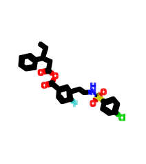 CCC(CC(=O)OC(=O)c1ccc(F)c(CCNS(=O)(=O)c2ccc(Cl)cc2)c1)c1ccccc1